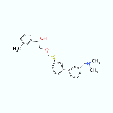 Cc1cccc(C(O)COCSc2cccc(-c3cccc(CN(C)C)c3)c2)c1